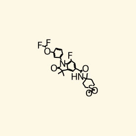 CC1(NC(=O)c2cc(F)c3c(c2)C(C)(C)C(=O)N3c2cccc(OC(F)F)c2)CCS(=O)(=O)CC1